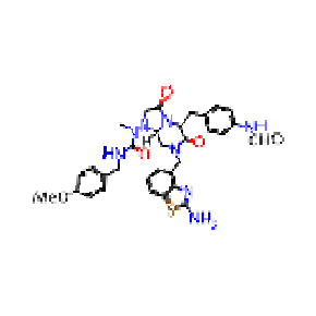 COc1ccc(CNC(=O)N(C)N2CC(=O)N3[C@@H](Cc4ccc(NC=O)cc4)C(=O)N(Cc4cccc5sc(N)nc45)C[C@@H]32)cc1